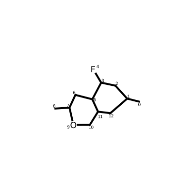 CC1CC(F)C2CC(C)OCC2C1